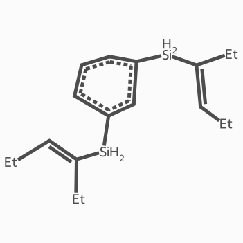 CCC=C(CC)[SiH2]c1cccc([SiH2]C(=CCC)CC)c1